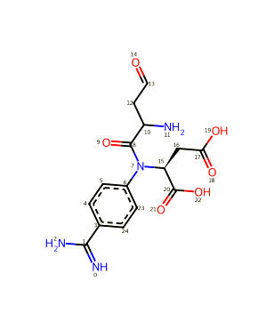 N=C(N)c1ccc(N(C(=O)C(N)CC=O)[C@@H](CC(=O)O)C(=O)O)cc1